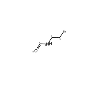 [CH]CCNC=O